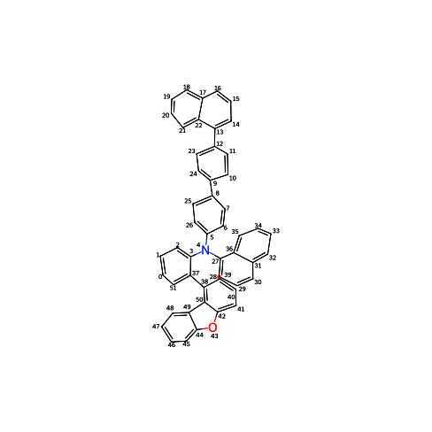 c1ccc(N(c2ccc(-c3ccc(-c4cccc5ccccc45)cc3)cc2)c2cccc3ccccc23)c(-c2cccc3oc4ccccc4c23)c1